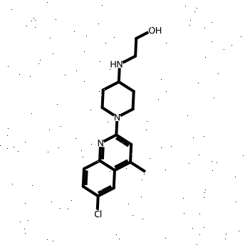 Cc1cc(N2CCC(NCCO)CC2)nc2ccc(Cl)cc12